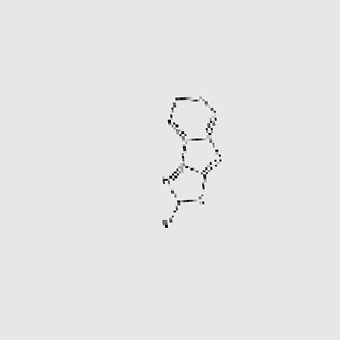 BrC1N=C2C(=Cc3ccccc32)S1